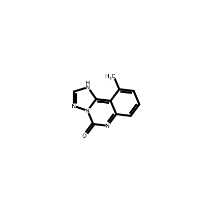 Cc1cccc2nc(=O)n3nc[nH]c3c12